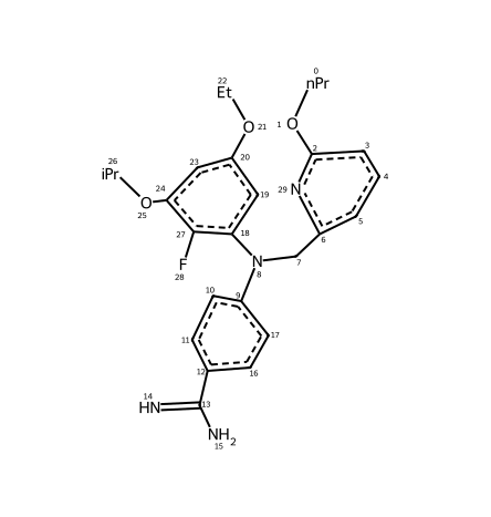 CCCOc1cccc(CN(c2ccc(C(=N)N)cc2)c2cc(OCC)cc(OC(C)C)c2F)n1